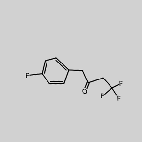 O=C(Cc1ccc(F)cc1)CC(F)(F)F